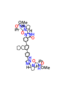 COC(=O)N[C@H](C(=O)N1[C@@H]2CC[C@@H](C2)[C@H]1c1ncc(-c2ccc(-c3ccc(-c4ccc5nc([C@@H]6[C@H]7CC[C@H](C7)N6C(=O)[C@@H](NC(=O)OC)C(C)C)[nH]c(=O)c5c4)c4c3CC3(CCCC3)C4)cc2)[nH]1)C(C)C